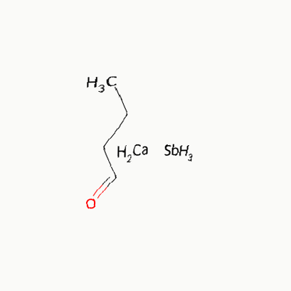 CCCC=O.[CaH2].[SbH3]